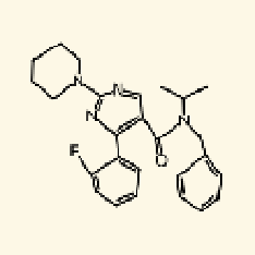 CC(C)N(Cc1ccccc1)C(=O)c1cnc(N2CCCCC2)nc1-c1ccccc1F